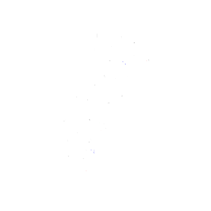 CC1(C)CCC(=O)N(Cc2ccc(-c3cccc(C4CCC(=O)NC4=O)c3Cl)cc2)C1